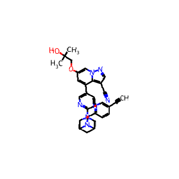 C#Cc1ccc(CN2C3CC2CN(c2ccc(-c4cc(OCC(C)(C)O)cn5ncc(C#N)c45)cn2)C3)nc1